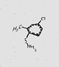 Cc1cc(Cl)ccc1SN